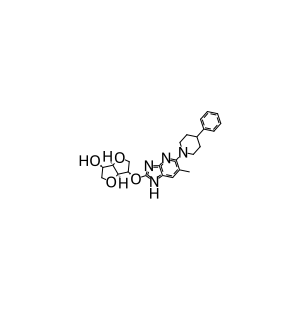 Cc1cc2[nH]c(O[C@@H]3CO[C@H]4[C@@H]3OC[C@H]4O)nc2nc1N1CCC(c2ccccc2)CC1